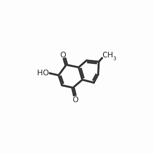 Cc1ccc2c(c1)C(=O)C(O)=CC2=O